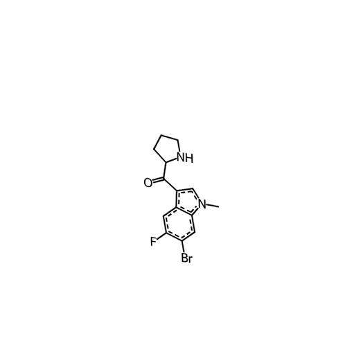 Cn1cc(C(=O)C2CCCN2)c2cc(F)c(Br)cc21